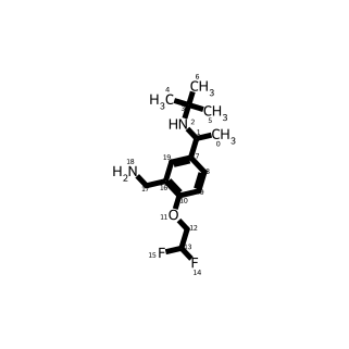 CC(NC(C)(C)C)c1ccc(OCC(F)F)c(CN)c1